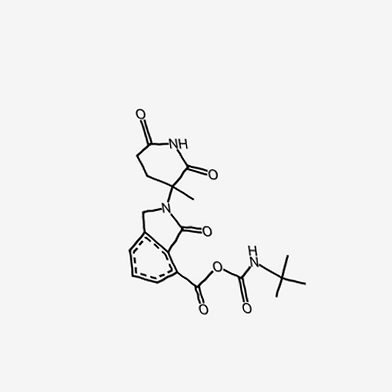 CC(C)(C)NC(=O)OC(=O)c1cccc2c1C(=O)N(C1(C)CCC(=O)NC1=O)C2